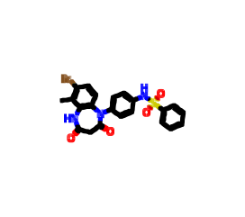 Cc1c(Br)ccc2c1NC(=O)CC(=O)N2c1ccc(NS(=O)(=O)c2ccccc2)cc1